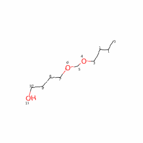 CCCCOCOCCCCO